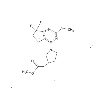 COC(=O)CC1CCN(c2nc(SC)nc3c2CCC3(F)F)C1